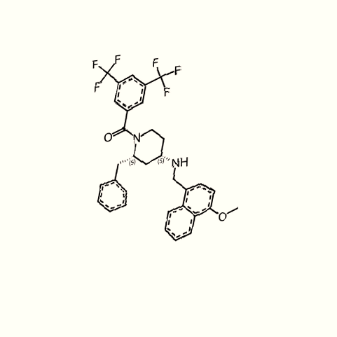 COc1ccc(CN[C@H]2CCN(C(=O)c3cc(C(F)(F)F)cc(C(F)(F)F)c3)[C@@H](Cc3ccccc3)C2)c2ccccc12